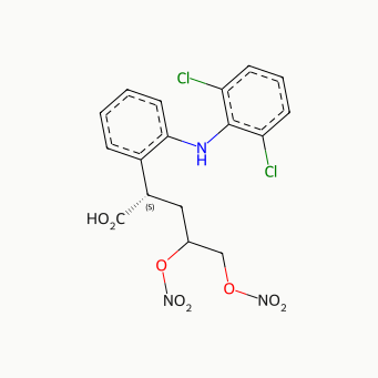 O=C(O)[C@@H](CC(CO[N+](=O)[O-])O[N+](=O)[O-])c1ccccc1Nc1c(Cl)cccc1Cl